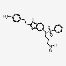 CCN(CC)CCCN(c1ccc2c(c1)nc(CCc1ccc(N)cc1)n2C)S(=O)(=O)c1ccccc1